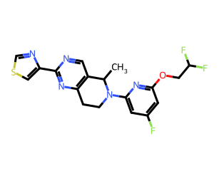 CC1c2cnc(-c3cscn3)nc2CCN1c1cc(F)cc(OCC(F)F)n1